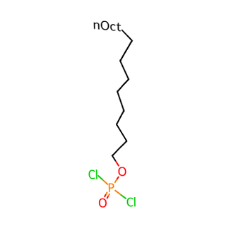 CCCCCCCCCCCCCCCCOP(=O)(Cl)Cl